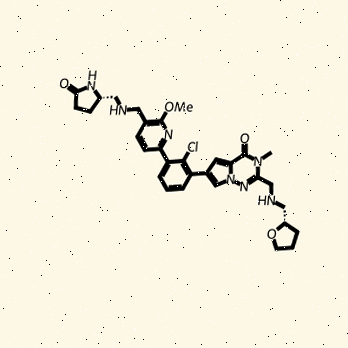 COc1nc(-c2cccc(-c3cc4c(=O)n(C)c(CNC[C@@H]5CCCO5)nn4c3)c2Cl)ccc1CNC[C@@H]1CCC(=O)N1